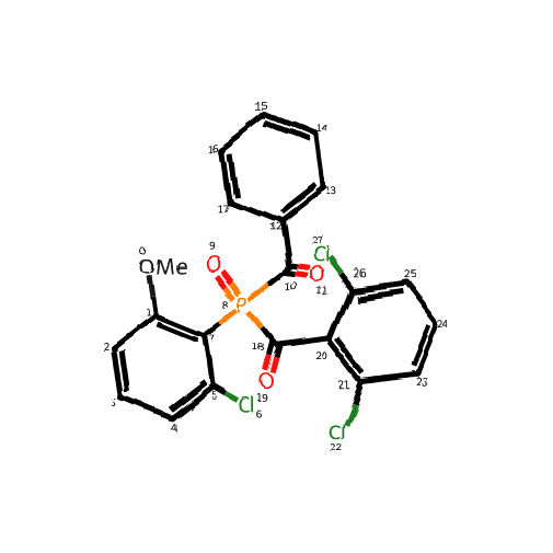 COc1cccc(Cl)c1P(=O)(C(=O)c1ccccc1)C(=O)c1c(Cl)cccc1Cl